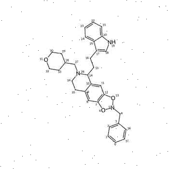 c1ccc(CN2Oc3cc4c(cc3O2)C(CCc2c[nH]c3ccccc23)N(CC2CCOCC2)CC4)cc1